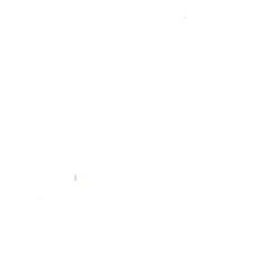 COc1cc(C)[nH]c(=O)c1CNC(=O)c1cc(Cl)c2c(c1C)OC(C1CCC(NC3CC(F)C3)CC1)CO2